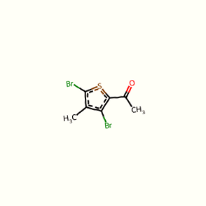 CC(=O)c1sc(Br)c(C)c1Br